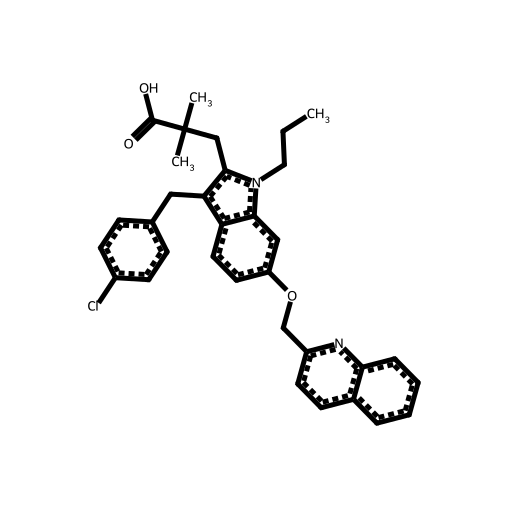 CCCn1c(CC(C)(C)C(=O)O)c(Cc2ccc(Cl)cc2)c2ccc(OCc3ccc4ccccc4n3)cc21